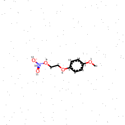 COc1ccc(OCCO[N+](=O)[O-])cc1